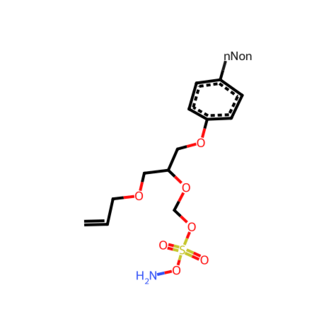 C=CCOCC(COc1ccc(CCCCCCCCC)cc1)OCOS(=O)(=O)ON